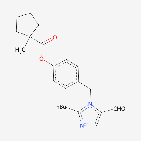 CCCCc1ncc(C=O)n1Cc1ccc(OC(=O)C2(C)CCCC2)cc1